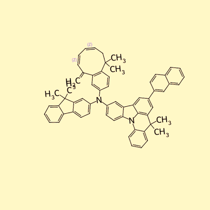 C=C1/C=C\C=C/CC(C)(C)c2ccc(N(c3ccc4c(c3)C(C)(C)c3ccccc3-4)c3ccc4c(c3)c3cc(-c5ccc6ccccc6c5)cc5c3n4-c3ccccc3C5(C)C)cc21